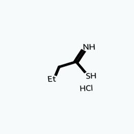 CCCC(=N)S.Cl